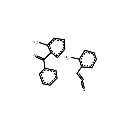 Cc1ccccc1C(=O)c1ccccc1.Cc1ccccc1C=C=O